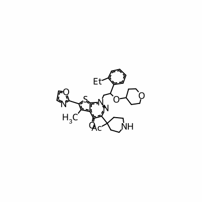 CCc1ccccc1C(Cn1nc(C2(C(C)=O)CCNCC2)c(=O)c2c(C)c(-c3ncco3)sc21)OC1CCOCC1